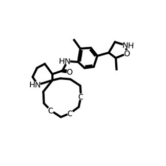 Cc1cc(C2CNOC2C)ccc1NC(=O)C1CCCNC12CCCCCCCCCC2